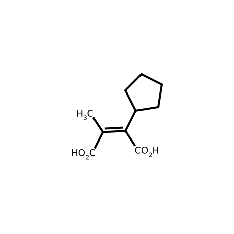 C/C(C(=O)O)=C(/C(=O)O)C1CCCC1